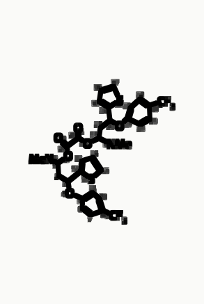 CNC(CC(Oc1ccc(C(F)(F)F)cc1)c1cccs1)OC(=O)C(=O)OC(CC(Oc1ccc(C(F)(F)F)cc1)c1cccs1)NC